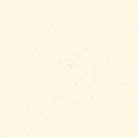 C#CCC(O)COCCOCCO.O=P(O)(Cl)Cl